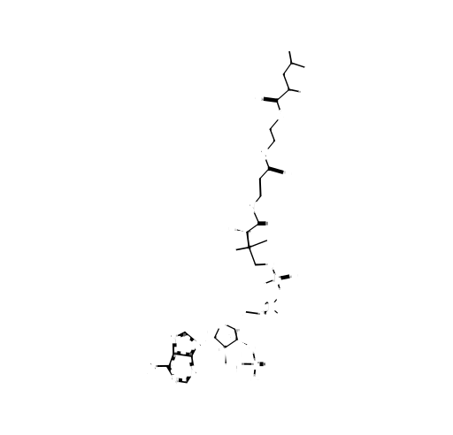 CC(C)CC(O)C(=O)SCCNC(=O)CCNC(=O)[C@H](O)C(C)(C)COP(=O)(O)OP(=O)(O)OC[C@H]1O[C@@H](n2cnc3c(N)ncnc32)[C@H](O)[C@@H]1OP(=O)(O)O